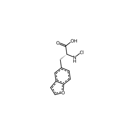 O=C(O)[C@@H](Cc1ccc2occc2c1)NCl